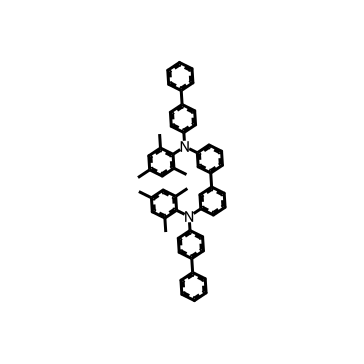 Cc1cc(C)c(N(c2ccc(-c3ccccc3)cc2)c2cccc(-c3cccc(N(c4ccc(-c5ccccc5)cc4)c4c(C)cc(C)cc4C)c3)c2)c(C)c1